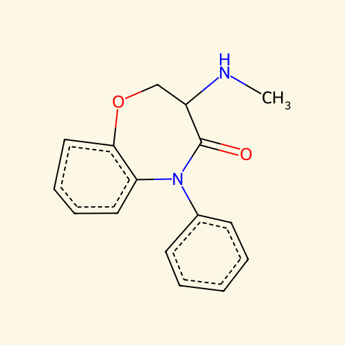 CNC1COc2ccccc2N(c2ccccc2)C1=O